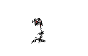 O=C(CCCCCCCC(=O)Nc1ccccc1C(Nc1ccccn1)C(c1ccccn1)C(O)c1ccccc1)NCc1ccc(C2C(CCC(O)c3ccc(F)cc3)C(=O)N2c2ccc(F)cc2)cc1